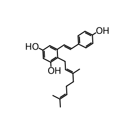 CC(C)=CCC/C(C)=C/Cc1c(O)cc(O)cc1C=Cc1ccc(O)cc1